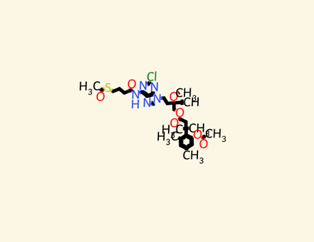 C#CC(CCn1cnc2c(NC(=O)CCCSC(C)=O)nc(Cl)nc21)(COC(=O)CC(C)(C)c1c(C)cc(C)cc1OC(C)=O)OC